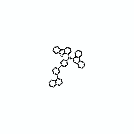 c1cc(-c2ccc(N(c3cc4ccccc4c4ccccc34)c3cccc4c3oc3ccccc34)cc2)cc(-c2cccc3ccccc23)c1